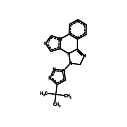 CC(C)(C)c1cn(N2CN=C3c4ccccc4-n4cncc4N32)nn1